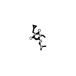 CCn1c(N=CN(C)C)cc(=O)n(CC2CC2)c1=O